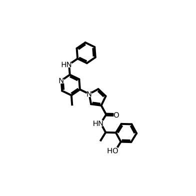 Cc1cnc(Nc2ccccc2)cc1-n1ccc(C(=O)NC(C)c2ccccc2O)c1